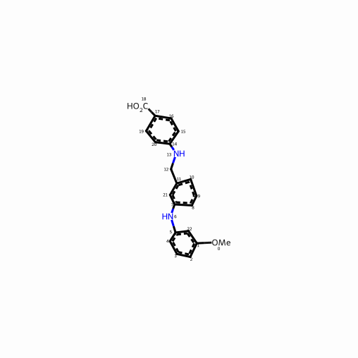 COc1cccc(Nc2cccc(CNc3ccc(C(=O)O)cc3)c2)c1